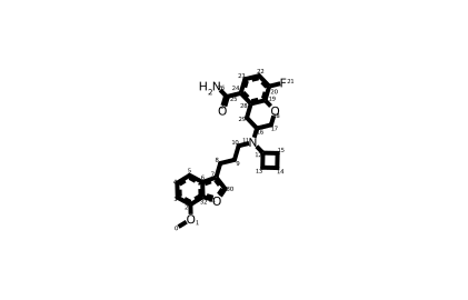 COc1cccc2c(CCCN(C3CCC3)C3COc4c(F)ccc(C(N)=O)c4C3)coc12